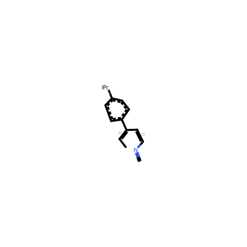 C=N/C=C\C(=C/C)c1ccc(C(C)C)cc1